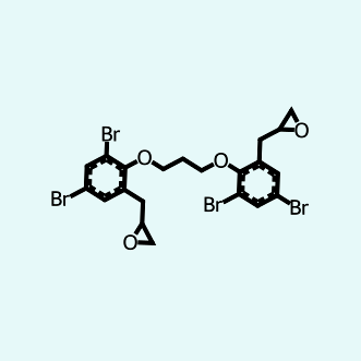 Brc1cc(Br)c(OCCCOc2c(Br)cc(Br)cc2CC2CO2)c(CC2CO2)c1